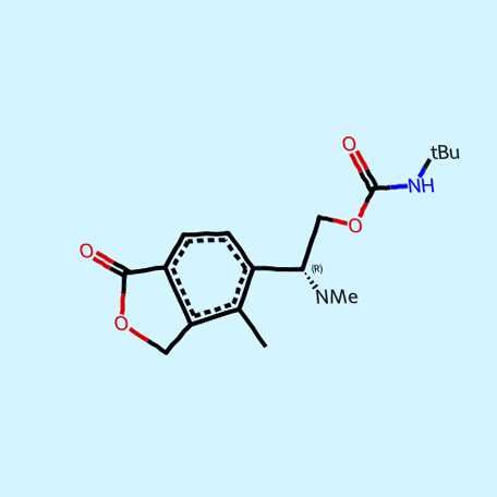 CN[C@@H](COC(=O)NC(C)(C)C)c1ccc2c(c1C)COC2=O